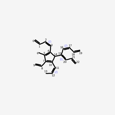 C=C/C=C\C1=C(C)C(C=C)=C(/C=C\C)C1C(/C=C\C=C)=C/C=C